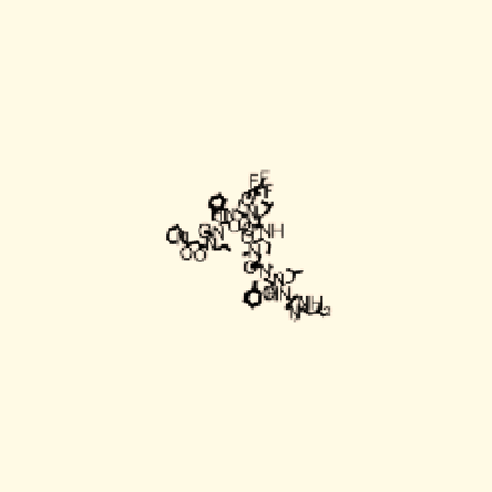 CCCN(C(=O)CC(=O)N1CCCCC1)C(=O)N(C)[C@@H](Cc1ccccc1)C(=O)N[C@@H](COCC(F)(F)C(F)F)C(=O)N(C)[C@@H](CC(C)C)C(=O)N[C@@H](CC)C(=O)N(C)CC(=O)N(C)[C@@H](Cc1ccccc1)C(=O)N(C)[C@@H](CC(C)C)NC(C)CN(C)[C@H](N)CC(C)C